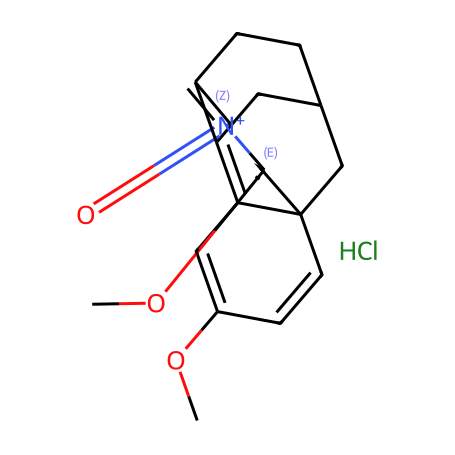 COC1=CC2=C3CC4CC/C3=C/[N+](=O)/C(OC)=C\C2(C=C1)C4.Cl